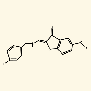 CCOc1ccc2c(c1)C(=O)C(=CNCc1ccc(F)cc1)S2